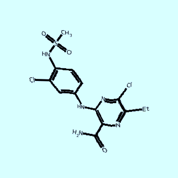 CCc1nc(C(N)=O)c(Nc2ccc(NS(C)(=O)=O)c(Cl)c2)nc1Cl